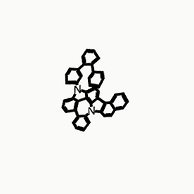 c1ccc(-c2ccccc2-c2cccc(-n3c4cccc5c6ccccc6n6c7ccc8ccccc8c7c7ccc3c(c54)c76)c2)cc1